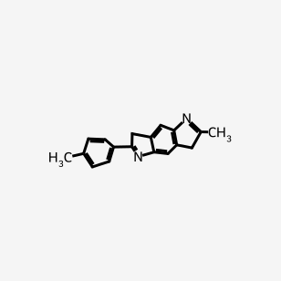 CC1=Nc2cc3c(cc2C1)N=C(c1ccc(C)cc1)C3